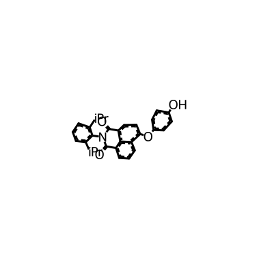 CC(C)c1cccc(C(C)C)c1N1C(=O)c2cccc3c(Oc4ccc(O)cc4)ccc(c23)C1=O